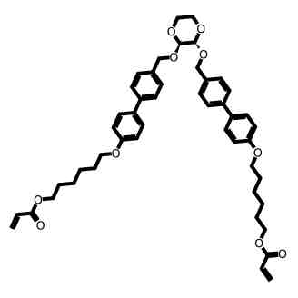 C=CC(=O)OCCCCCCOc1ccc(-c2ccc(CO[C@H]3OCCO[C@@H]3OCc3ccc(-c4ccc(OCCCCCCOC(=O)C=C)cc4)cc3)cc2)cc1